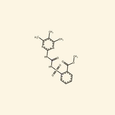 COC(=O)c1ccccc1S(=O)(=O)NC(=O)Nc1nc(C)c(C)c(C)n1